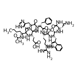 CCCC[C@H](NC(C)=O)C(=O)N[C@@H](CCC(=O)O)C(=O)N[C@@H](Cc1c[nH]cn1)C(=O)N[C@H](Cc1ccccc1)C(=O)N[C@@H](CCCNC(=N)N)C(=O)N[C@@H](Cc1c[nH]c2ccccc12)C(=O)N[C@@H](CCN)C(N)=O